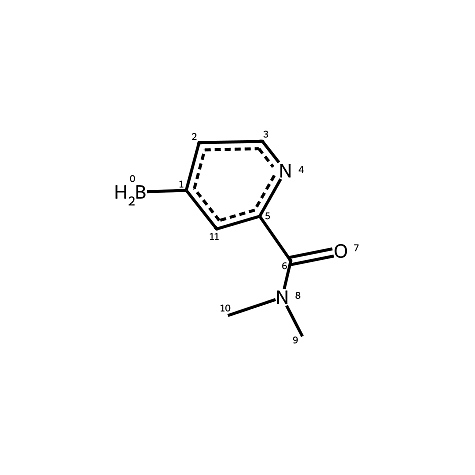 Bc1ccnc(C(=O)N(C)C)c1